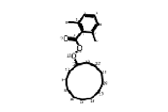 Cc1cccc(C)c1C(=O)OO[C]1CCCCCCCCCCC1